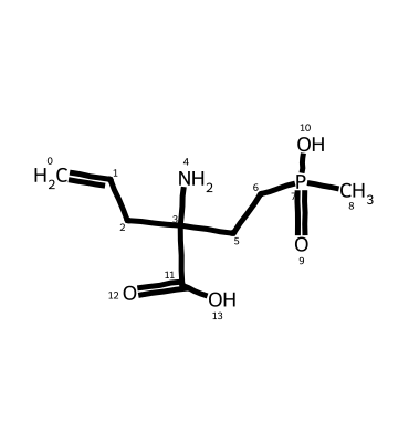 C=CCC(N)(CCP(C)(=O)O)C(=O)O